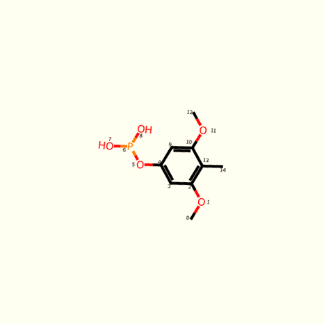 COc1cc(OP(O)O)cc(OC)c1C